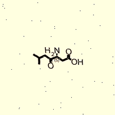 CC(C)CC(=O)[C@@H](N)CC(=O)O